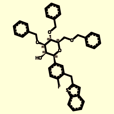 O[C@@H]1[C@@H](OCc2ccccc2)[C@H](OCc2ccccc2)[C@@H](COCc2ccccc2)O[C@H]1c1ccc(F)c(Cc2cc3ccccc3s2)c1